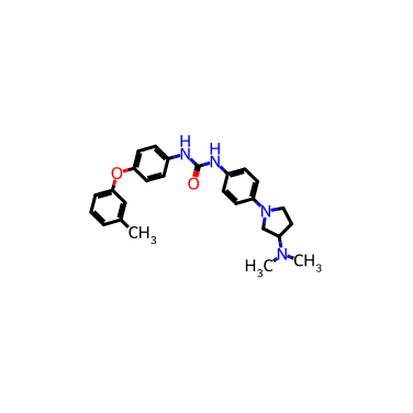 Cc1cccc(Oc2ccc(NC(=O)Nc3ccc(N4CCC(N(C)C)C4)cc3)cc2)c1